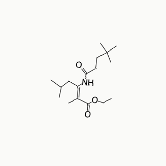 CCOC(=O)C(C)=C(CC(C)C)NC(=O)CCC(C)(C)C